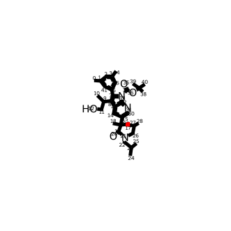 Cc1cc(C)cc(-c2c(C(C)CO)c3cc(C(C)(C)C(=O)N(CC(C)C)CC(C)C)cnc3n2C(=O)OC(C)(C)C)c1